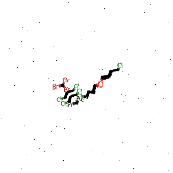 BrC(Br)Br.CC(=O)CC(C)C.ClC=CCCl.ClC=CCCl.ClCCC=COC=CCCCl